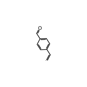 [CH]=Cc1ccc(C=O)cc1